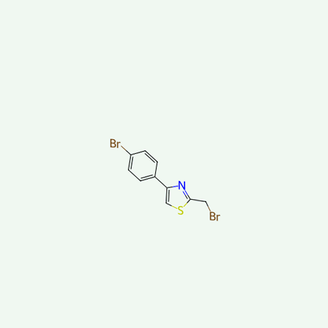 BrCc1nc(-c2ccc(Br)cc2)cs1